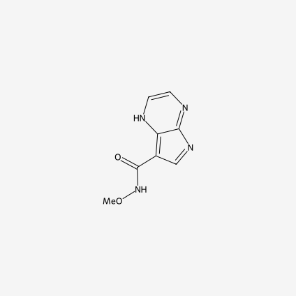 CONC(=O)c1cnc2ncc[nH]c1-2